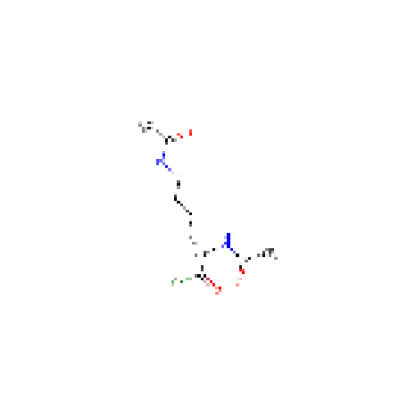 O=C(Cl)[C@H](CCCCNC(=O)C(F)(F)F)NC(=O)C(F)(F)F